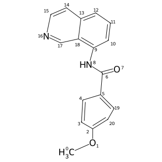 COc1ccc(C(=O)Nc2cccc3ccncc23)cc1